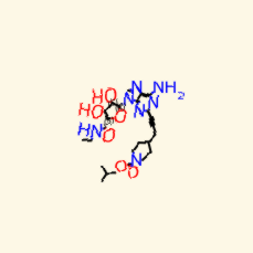 CCNC(=O)[C@H]1O[C@@H](n2cnc3c(N)nc(C#CCC4CCN(C(=O)OCC(C)C)CC4)nc32)[C@@H](O)C1O